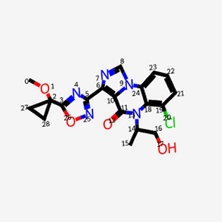 COC1(c2nc(-c3ncn4c3c(=O)n(C(C)CO)c3c(Cl)cccc34)no2)CC1